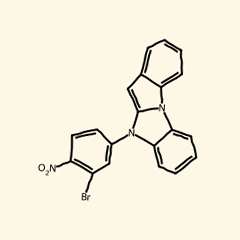 O=[N+]([O-])c1ccc(-n2c3ccccc3n3c4ccccc4cc23)cc1Br